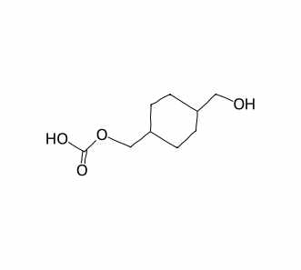 O=C(O)OCC1CCC(CO)CC1